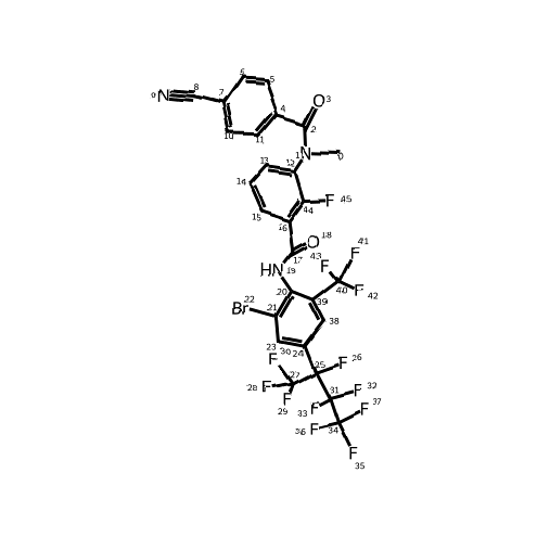 CN(C(=O)c1ccc(C#N)cc1)c1cccc(C(=O)Nc2c(Br)cc(C(F)(C(F)(F)F)C(F)(F)C(F)(F)F)cc2C(F)(F)F)c1F